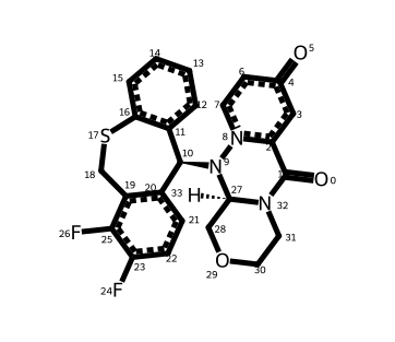 O=C1c2cc(=O)ccn2N([C@@H]2c3ccccc3SCc3c2ccc(F)c3F)[C@@H]2COCCN12